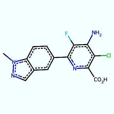 Cn1ncc2cc(-c3nc(C(=O)O)c(Cl)c(N)c3F)ccc21